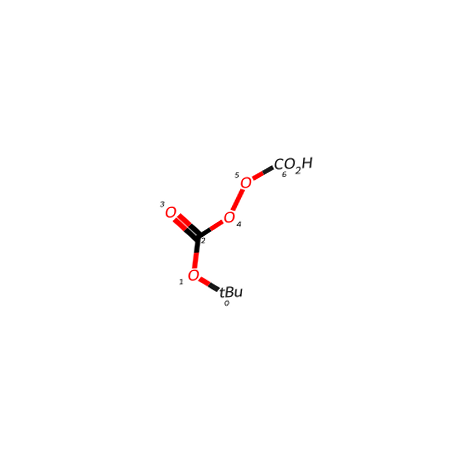 CC(C)(C)OC(=O)OOC(=O)O